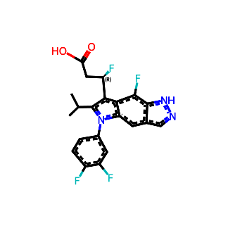 CC(C)c1c([C@H](F)CC(=O)O)c2c(F)c3[nH]ncc3cc2n1-c1ccc(F)c(F)c1